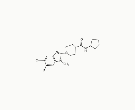 Cn1c(N2CCC(C(=O)NC3CCCC3)CC2)nc2cc(Cl)c(F)cc21